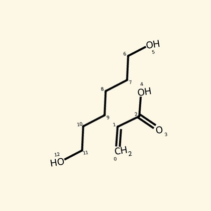 C=CC(=O)O.OCCCCCCO